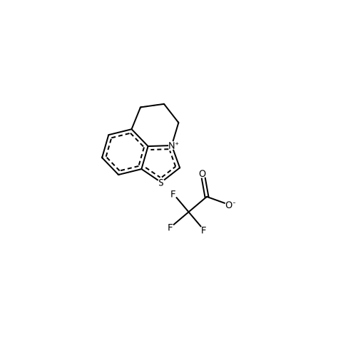 O=C([O-])C(F)(F)F.c1cc2c3c(c1)sc[n+]3CCC2